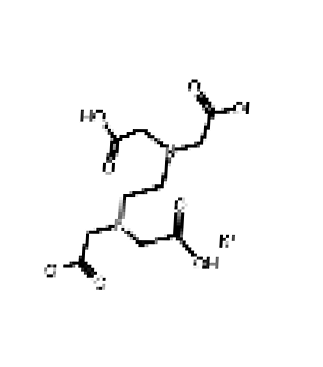 O=C([O-])CN(CCN(CC(=O)O)CC(=O)O)CC(=O)O.[K+]